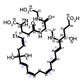 CC/C=C\CC(O)(O)/C=C/C=C\C\C=C/C=C/C=C/[C@@H](NC[C@H](NC(=O)CC[C@H](N)C(=O)O)C(=O)NCC(=O)O)[C@@H](O)CCC(=O)O